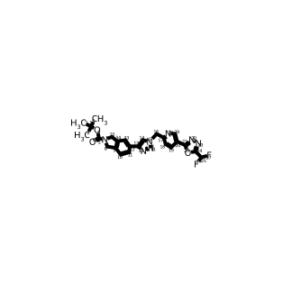 CC(C)(C)OC(=O)N1Cc2ccc(-c3cn(Cc4ccc(-c5nnc(C(F)F)o5)cn4)nn3)cc2C1